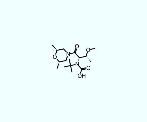 CO[C@H](C)[C@@H](C(=O)N1C[C@@H](C)O[C@@H](C)C1)N(C(=O)O)C(C)(C)C